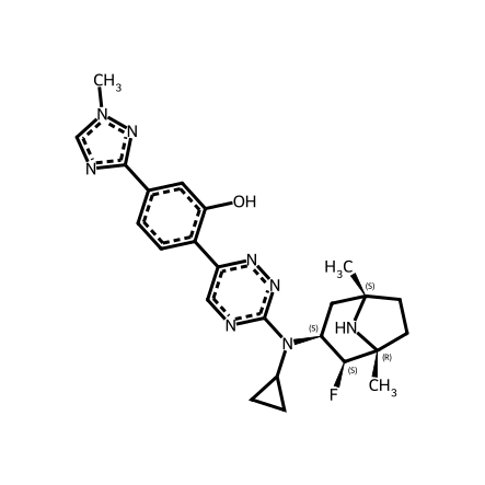 Cn1cnc(-c2ccc(-c3cnc(N(C4CC4)[C@H]4C[C@]5(C)CC[C@@](C)(N5)[C@H]4F)nn3)c(O)c2)n1